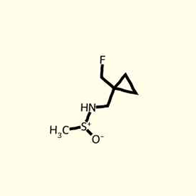 C[S+]([O-])NCC1(CF)CC1